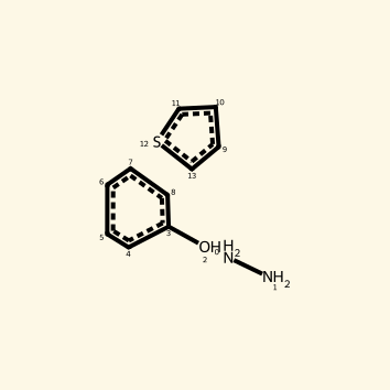 NN.Oc1ccccc1.c1ccsc1